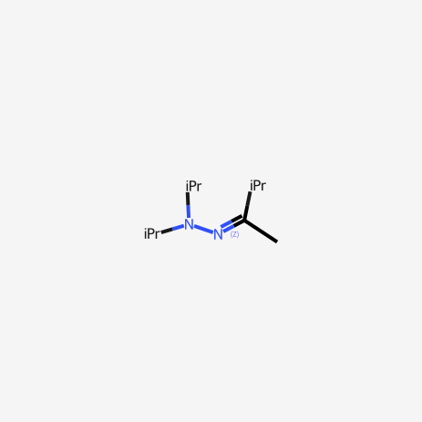 C/C(=N/N(C(C)C)C(C)C)C(C)C